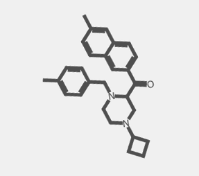 Cc1ccc(CN2CCN(C3CCC3)CC2C(=O)c2ccc3cc(C)ccc3c2)cc1